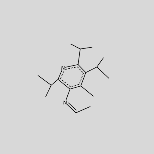 C/C=N\c1c(C(C)C)nc(C(C)C)c(C(C)C)c1C